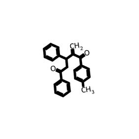 C=C(C(=O)c1ccc(C)cc1)C(CC(=O)c1ccccc1)c1ccccc1